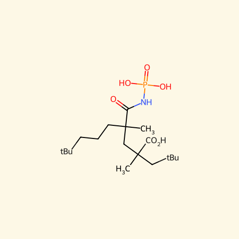 CC(C)(C)CCCC(C)(CC(C)(CC(C)(C)C)C(=O)O)C(=O)NP(=O)(O)O